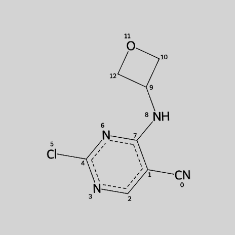 N#Cc1cnc(Cl)nc1NC1COC1